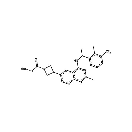 Cc1nc(NC(C)c2cccc(C(F)(F)F)c2C)c2cc(C3CN(C(=O)OC(C)(C)C)C3)cnc2n1